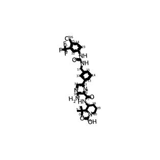 CC(C)(C)C1C(NC(=O)c2nc(-c3cccc(CNC(=O)Nc4ccc(Cl)c(C(F)(F)F)c4)c3)cnc2N)CCCN1C(=O)O